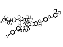 Cc1nc(NC(=O)C2CCN(C(=O)OC(C)(C)C)CC2)sc1S(=O)(=O)N1Cc2cc3c(cc2CC1C(=O)N[C@@H](Cc1ccc(-c2ccc(C#N)cc2)cc1)C(=O)O)OCC(c1ccc(OCc2ccc(Cl)c(Cl)c2)cc1)O3